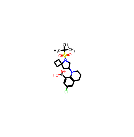 CC(C)(C)S(=O)(=O)N1CC(N2CCCc3cc(Cl)cc(B(O)O)c32)CC12CCC2